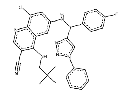 CC(C)(C)CNc1c(C#N)cnc2c(Cl)cc(NC(c3ccc(F)cc3)c3cn(-c4ccccc4)nn3)cc12